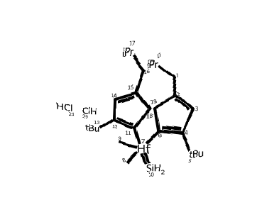 CC(C)CC1=CC(C(C)(C)C)=[C]([Hf]([CH3])([CH3])(=[SiH2])[C]2=C(C(C)(C)C)C=C(CC(C)C)C2)C1.Cl.Cl